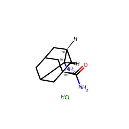 Cl.NC(=O)[C@]12CC3CC(C1)[C@@H](N)[C@@H](C3)C2